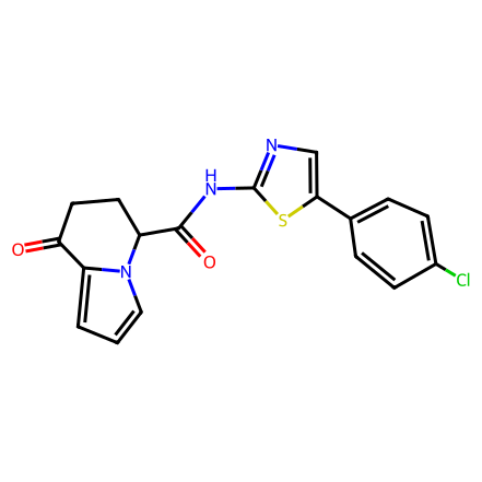 O=C1CCC(C(=O)Nc2ncc(-c3ccc(Cl)cc3)s2)n2cccc21